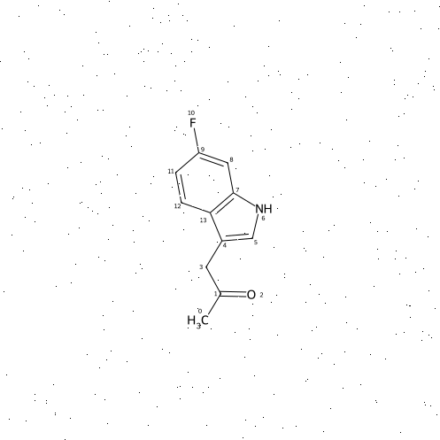 CC(=O)Cc1c[nH]c2cc(F)ccc12